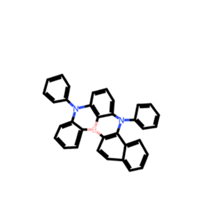 c1ccc(N2c3ccccc3B3c4ccc5ccccc5c4N(c4ccccc4)c4cccc2c43)cc1